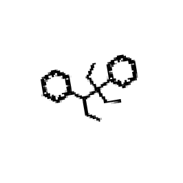 CCC(c1ccccc1)C(CC)(CC)c1ccccc1